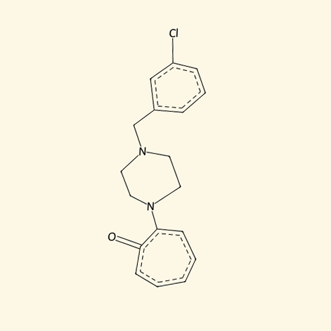 O=c1cccccc1N1CCN(Cc2cccc(Cl)c2)CC1